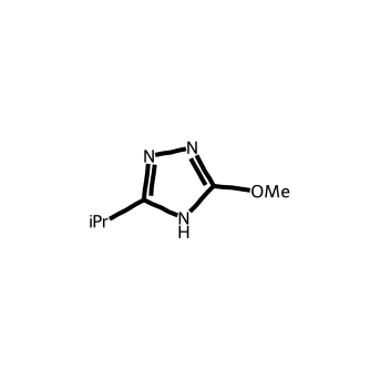 COc1nnc(C(C)C)[nH]1